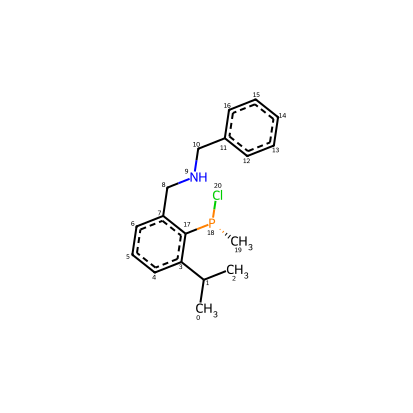 CC(C)c1cccc(CNCc2ccccc2)c1[P@@](C)Cl